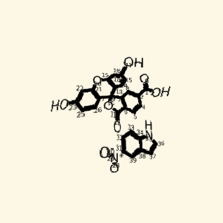 O=C(O)c1ccc2c(c1)C1(OC2=O)c2ccc(O)cc2Oc2cc(O)ccc21.O=[N+]([O-])c1ccc2[nH]ccc2c1